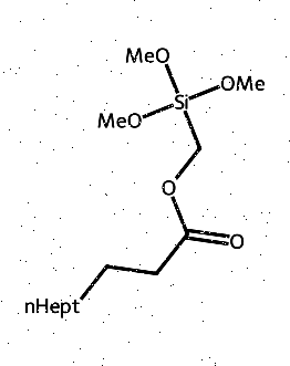 CCCCCCCCCC(=O)OC[Si](OC)(OC)OC